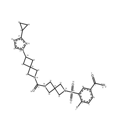 NC(=O)c1ccc(F)c(S(=O)(=O)N2CC3(CN(C(=O)N4CC5(CC(n6cnc(C7CC7)n6)C5)C4)C3)C2)c1